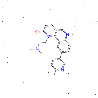 Cc1ccc(-c2ccc3ncc4ccc(=O)n(CCN(C)C)c4c3c2)cn1